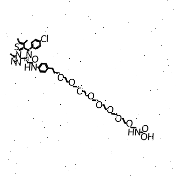 Cc1sc2c(c1C)C(c1ccc(Cl)cc1)=N[C@@H](CC(=O)Nc1ccc(CCCOCCOCCOCCOCCOCCOCCOCCOCCNC(=O)O)cc1)c1nnc(C)n1-2